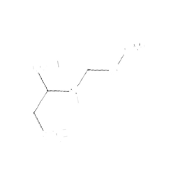 CCOC(=O)CC(NCOOC)C(=O)O